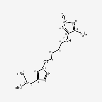 CCCCN(CCCC)Cc1cnn(OCCCCNc2n[s+]([O-])nc2N)c1